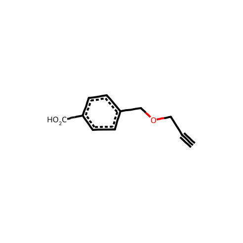 C#CCOCc1ccc(C(=O)O)cc1